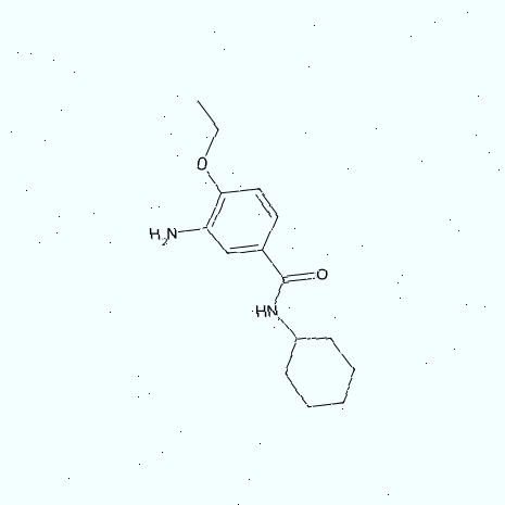 CCOc1ccc(C(=O)NC2CCCCC2)cc1N